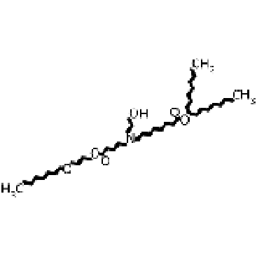 CCCCCCCCOCC=CCOC(=O)CCCCN(CCCO)CCCCCCCC(=O)OC(CCCCCCCC)CCCCCCCC